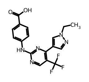 CCn1cc(-c2nc(Nc3ccc(C(=O)O)cc3)ncc2C(F)(F)F)cn1